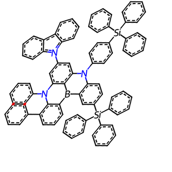 c1ccc(-c2cccc3c2N(c2ccccc2)c2cc(-n4c5ccccc5c5ccccc54)cc4c2B3c2cc([Si](c3ccccc3)(c3ccccc3)c3ccccc3)ccc2N4c2ccc([Si](c3ccccc3)(c3ccccc3)c3ccccc3)cc2)cc1